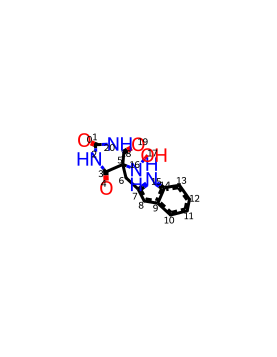 O=C1NC(=O)C(Cc2cc3ccccc3[nH]2)(NO)C(=O)N1